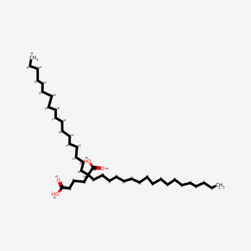 CCCCCCCCCCCCCCCCCCC(CCCCCCCCCCCCCCCCCC)(CCCC(=O)O)C(=O)O